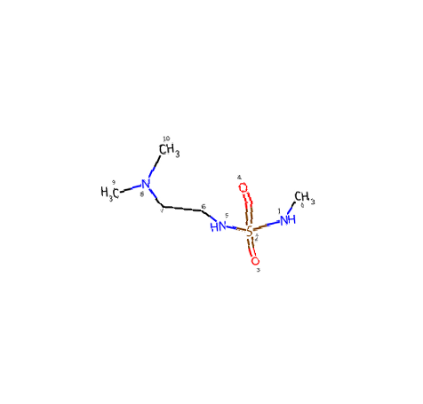 CNS(=O)(=O)NCCN(C)C